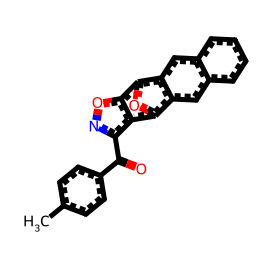 Cc1ccc(C(=O)c2noc3c4oc(c5cc6ccccc6cc54)c23)cc1